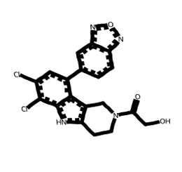 O=C(CO)N1CCc2[nH]c3c(Cl)c(Cl)cc(-c4ccc5nonc5c4)c3c2C1